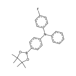 CC1(C)OB(c2ccc(N(c3ccccc3)c3ccc(F)cc3)cc2)OC1(C)C